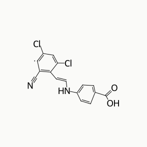 N#Cc1[c]c(Cl)cc(Cl)c1C=CNc1ccc(C(=O)O)cc1